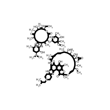 CC[C@H]1OC(=O)[C@H](C)[C@@H](O[C@H]2C[C@@](C)(OC)[C@@H](O)[C@H](C)O2)C(C)[C@@H](O[C@@H]2O[C@H](C)C[C@H](N(C)C)[C@H]2O)[C@](C)(OC)C[C@@H](C)C(=O)[C@H](C)[C@@H](O)[C@]1(C)O.CO[C@H]1/C=C/O[C@@]2(C)Oc3c(C)c(O)c4c(c3C2=O)C2=NC3(CCN(CC(C)C)CC3)NC2=C(NC(=O)/C(C)=C\C=C\[C@H](C)[C@H](O)[C@@H](C)[C@@H](O)[C@@H](C)[C@H](OC(C)=O)[C@@H]1C)C4=O